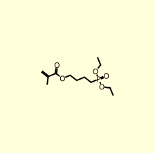 C=C(C)C(=O)OCCCCP(=O)(OCC)OCC